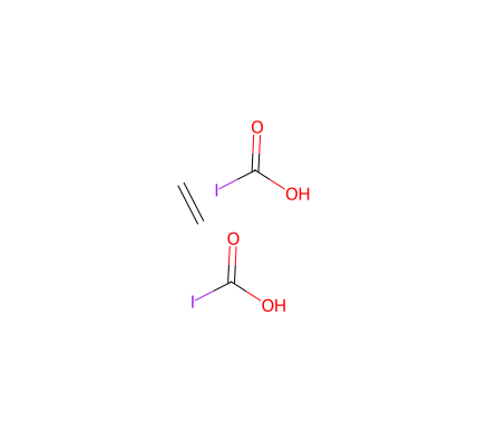 C=C.O=C(O)I.O=C(O)I